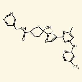 Cc1cc(Nc2nccc(C(F)(F)F)n2)cc(-c2cnc(C3(O)CCC(C(=O)NCc4cncnc4)CC3)s2)c1